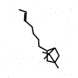 C/C=C/CCCCC1CC2(C)CC1C2(C)C